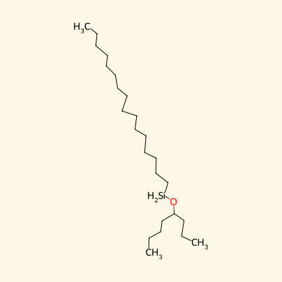 CCCCCCCCCCCCCCCC[SiH2]OC(CCC)CCCC